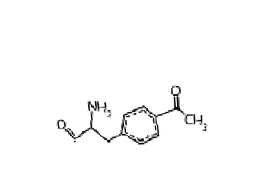 CC(=O)c1ccc(CC(N)[C]=O)cc1